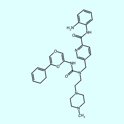 CN1CCN(CCN(Cc2ccc(C(=O)Nc3ccccc3N)nc2)C(=O)NC2=COC=C(C3=CC=CCC3)O2)CC1